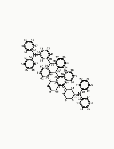 C1=CCc2c(c(C3CCCC(N(c4ccccc4)c4ccccc4)C3)c3ccccc3c2C2c3ccccc3C(c3cccc(N(c4ccccc4)c4ccccc4)c3)c3ccccc32)C1